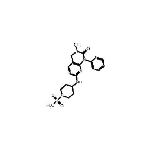 CN1Cc2cnc(NC3CCN(S(C)(=O)=O)CC3)nc2N(c2ccccn2)C1=O